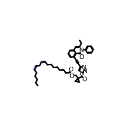 CCCCC/C=C\C/C=C\CCCCCCCC(=O)OCC1(C(=O)n2cc(C#Cc3cccc4cc(CC)n(-c5ccccc5)c(=O)c34)nn2)CC1